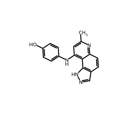 Cc1cc(Nc2ccc(O)cc2)c2c(ccc3cn[nH]c32)n1